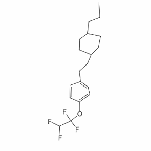 CCCC1CCC(CCc2ccc(OC(F)(F)C(F)F)cc2)CC1